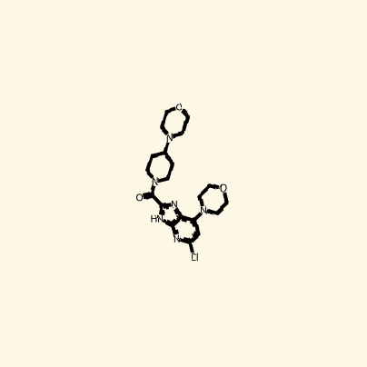 O=C(c1nc2c(N3CCOCC3)cc(Cl)nc2[nH]1)N1CCC(N2CCOCC2)CC1